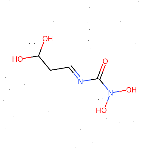 O=C(N=CCC(O)O)N(O)O